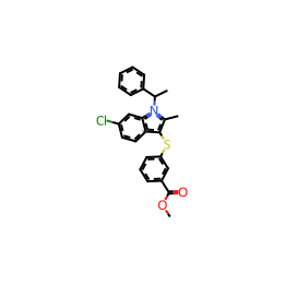 COC(=O)c1cccc(Sc2c(C)n(C(C)c3ccccc3)c3cc(Cl)ccc23)c1